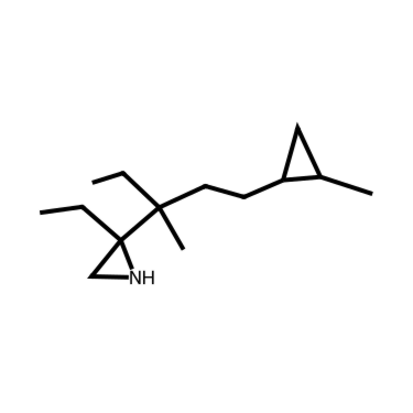 CCC(C)(CCC1CC1C)C1(CC)CN1